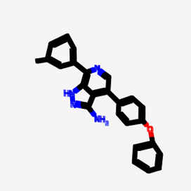 Cc1cccc(-c2ncc(-c3ccc(Oc4ccccc4)cc3)c3c(N)n[nH]c23)c1